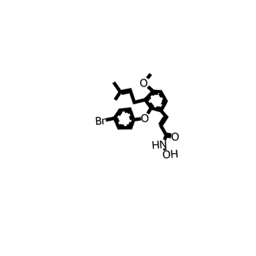 COc1ccc(/C=C/C(=O)NO)c(Oc2ccc(Br)cc2)c1CC=C(C)C